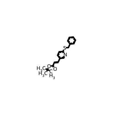 CC(C)(C)OC(=O)C=Cc1ccc(SCc2ccccc2)nc1